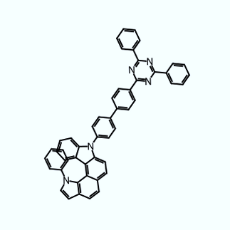 c1ccc(-c2nc(-c3ccccc3)nc(-c3ccc(-c4ccc(-n5c6ccccc6c6c7c(ccc8ccn(-c9ccccc9)c87)ccc65)cc4)cc3)n2)cc1